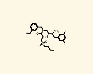 CCCCS(=O)(=O)CCC(=O)N(Cc1cccc(CC)c1)C[C@@H](O)[C@@H](N)Cc1cc(F)cc(F)c1